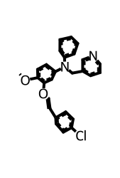 COc1ccc(N(Cc2cccnc2)c2ccccc2)cc1OC=Cc1ccc(Cl)cc1